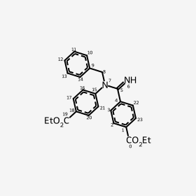 CCOC(=O)c1ccc(C(=N)N(Cc2ccccc2)c2ccc(C(=O)OCC)cc2)cc1